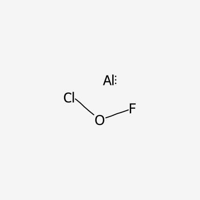 FOCl.[Al]